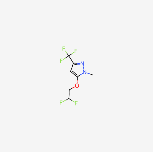 Cn1nc(C(F)(F)F)cc1OCC(F)F